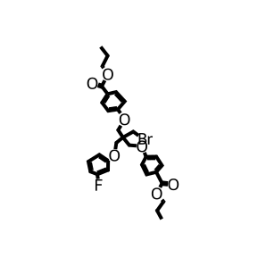 CCCOC(=O)c1ccc(OCC(CBr)(COc2ccc(C(=O)OCCC)cc2)COc2cccc(F)c2)cc1